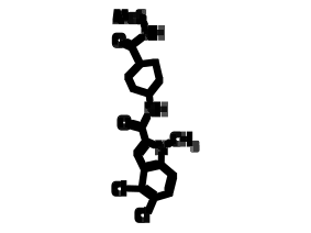 CSNC(=O)C1CCC(NC(=O)c2cc3c(Cl)c(Cl)ccc3n2C)CC1